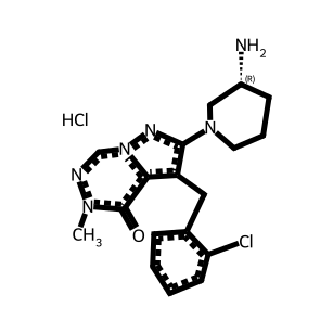 Cl.Cn1ncn2nc(N3CCC[C@@H](N)C3)c(Cc3ccccc3Cl)c2c1=O